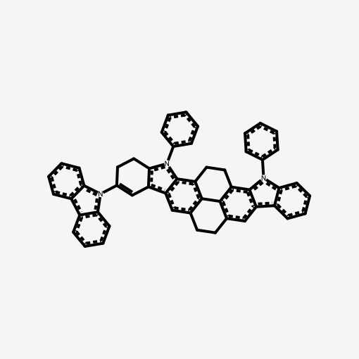 C1=C(n2c3ccccc3c3ccccc32)CCc2c1c1cc3c4c(c1n2-c1ccccc1)CCc1c-4c(cc2c4ccccc4n(-c4ccccc4)c12)CC3